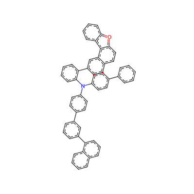 c1ccc(-c2ccc(N(c3ccc(-c4cccc(-c5cccc6ccccc56)c4)cc3)c3ccccc3-c3ccc4ccc5oc6ccccc6c5c4c3)cc2)cc1